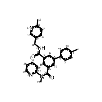 Cc1ccc(-c2cc(C(=O)NCc3ccc(C)nc3)cc(C(=O)N(C)c3ccccn3)c2)cc1